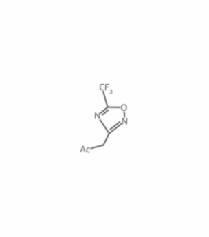 CC(=O)Cc1noc(C(F)(F)F)n1